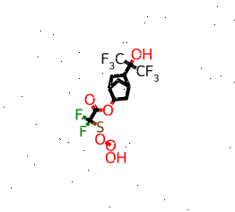 O=C(OC1CC2CC1CC2C(O)(C(F)(F)F)C(F)(F)F)C(F)(F)SOOO